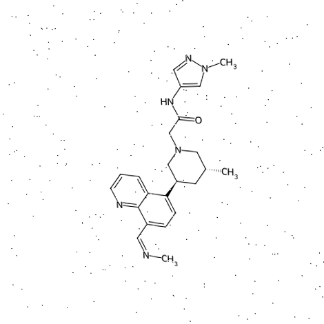 C/N=C\c1ccc([C@@H]2C[C@@H](C)CN(CC(=O)Nc3cnn(C)c3)C2)c2cccnc12